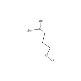 CC(=O)N(CCCOC(C)C)C(C)(C)C